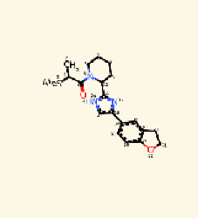 CSC(C)C(=O)N1CCCCC1c1nc(-c2ccc3c(c2)CCO3)c[nH]1